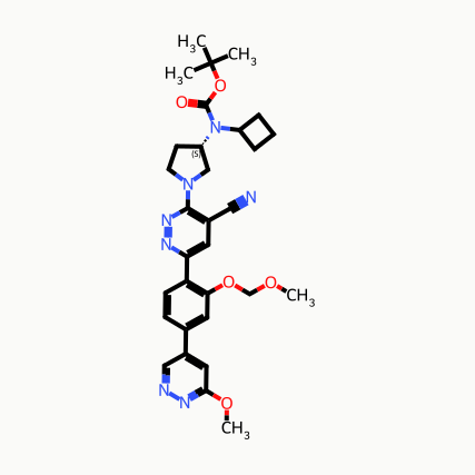 COCOc1cc(-c2cnnc(OC)c2)ccc1-c1cc(C#N)c(N2CC[C@H](N(C(=O)OC(C)(C)C)C3CCC3)C2)nn1